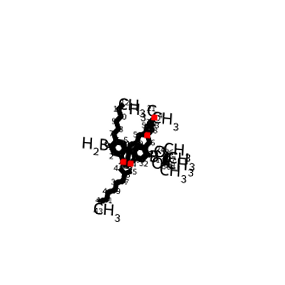 Bc1cc2c(cc1CCCCCC)-c1cc(CCCCCC)c(B3OC(C)(C)C(C)(C)O3)cc1[C@]13CC(CCCCCCC)C[C@]21CC(CCCCCCC)C3